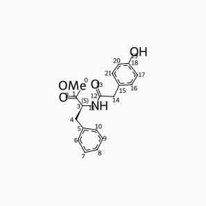 COC(=O)[C@H](Cc1ccccc1)NC(=O)Cc1ccc(O)cc1